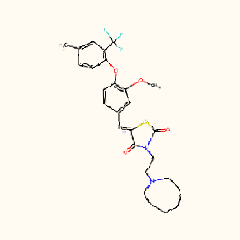 COc1cc(/C=C2\SC(=O)N(CCN3CCCCCC3)C2=O)ccc1Oc1ccc(C)cc1C(F)(F)F